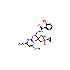 COc1cc(OC)nc(OC(CNC(=O)c2ccccc2O)C(C)(CS(=O)(=O)C2CC2)OC)n1